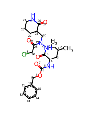 CC(C)C[C@@H](NC(=O)OCc1ccccc1)C(=O)NN(CC1CCCNC1=O)C(=O)CCl